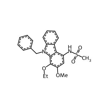 CCOc1c(OC)cc(NS(C)(=O)=O)c2c3ccccc3n(Cc3ccccc3)c12